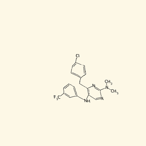 CN(C)c1ncc(Nc2cccc(C(F)(F)F)c2)c(Cc2ccc(Cl)cc2)n1